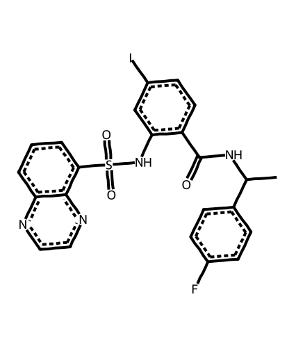 CC(NC(=O)c1ccc(I)cc1NS(=O)(=O)c1cccc2nccnc12)c1ccc(F)cc1